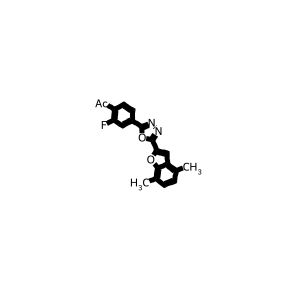 CC(=O)c1ccc(-c2nnc(-c3cc4c(C)ccc(C)c4o3)o2)cc1F